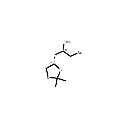 CO[C@@H](CC(C)=O)C[C@H]1COC(C)(C)O1